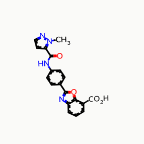 Cn1nccc1C(=O)Nc1ccc(-c2nc3cccc(C(=O)O)c3o2)cc1